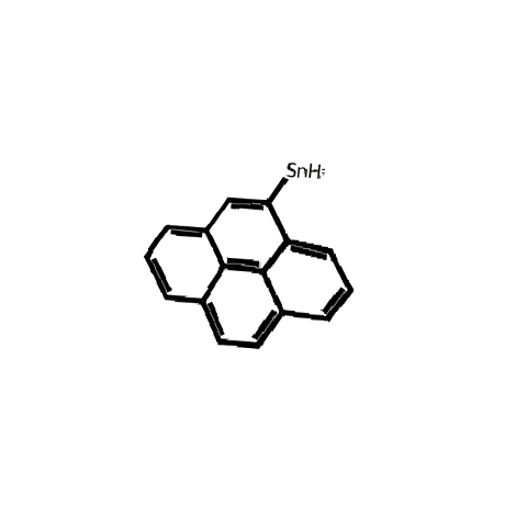 [SnH][c]1cc2cccc3ccc4cccc1c4c32